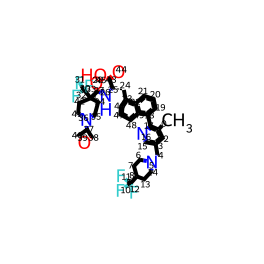 Cc1cc(CN2CCC(C(F)(F)F)CC2)cnc1-c1cccc2c(C[C@H](NC(=O)C3(C(F)(F)F)CCN(C4COC4)CC3)C(=O)O)cccc12